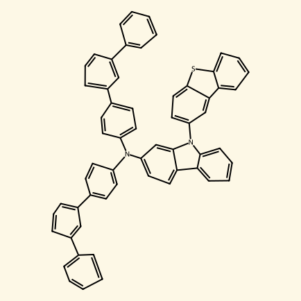 c1ccc(-c2cccc(-c3ccc(N(c4ccc(-c5cccc(-c6ccccc6)c5)cc4)c4ccc5c6ccccc6n(-c6ccc7sc8ccccc8c7c6)c5c4)cc3)c2)cc1